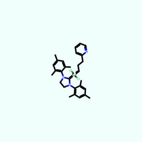 Cc1cc(C)c(N2CCN(c3c(C)cc(C)cc3C)[C]2=[Ru-4]([Cl])([Cl])=[CH]CCc2ccccn2)c(C)c1